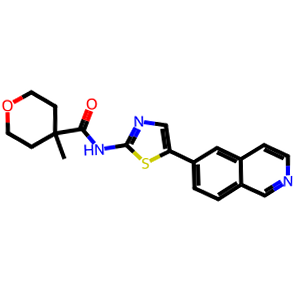 CC1(C(=O)Nc2ncc(-c3ccc4cnccc4c3)s2)CCOCC1